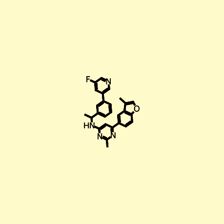 Cc1nc(NC(C)c2cccc(-c3cncc(F)c3)c2)cc(-c2ccc3occ(C)c3c2)n1